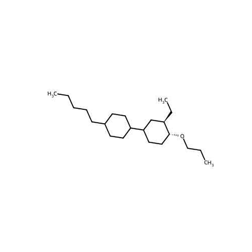 CCCCCC1CCC(C2CC[C@@H](OCCC)[C@H](CC)C2)CC1